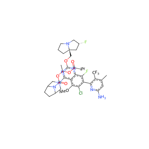 COc1c(Cl)c(-c2nc(N)cc(C)c2C(F)(F)F)c(F)c2nc(OC[C@@]34CCCN3C[C@H](F)C4)nc(N3CC4CCC(C3)N4C(=O)OC(C)OC(=O)C(C)C)c12